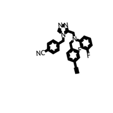 C#Cc1ccc(CN(Cc2nncn2Cc2ccc(C#N)cc2)c2cccc(F)c2F)cc1